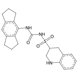 O=C(Nc1c2c(cc3c1CCC3)CCC2)NS(=O)(=O)C1CNc2ccccc2C1